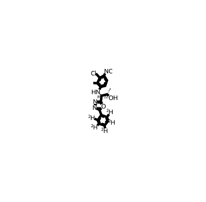 [2H]c1c([2H])c([2H])c(-c2nnc([C@H](Nc3ccc([N+]#[C-])c(Cl)c3C)[C@H](C)O)o2)c([2H])c1[2H]